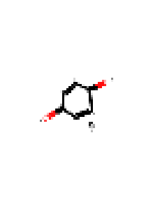 O=C1C=CC(=O)C=C1.[Ru]